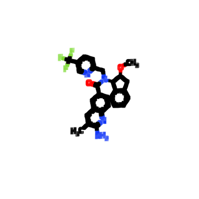 CO[C@H]1Cc2ccccc2[C@@H]1N(Cc1ccc(C(F)(F)F)cn1)C(=O)c1ccc2nc(N)c(C)cc2c1